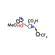 COc1ccc2nccc([C@H](O)CC[C@@H]3CCN(CC#Cc4cccc(C(F)(F)F)c4)C[C@@H]3CC(=O)O)c2c1